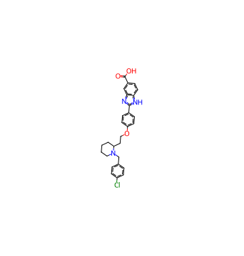 O=C(O)c1ccc2[nH]c(-c3ccc(OCCC4CCCCN4Cc4ccc(Cl)cc4)cc3)nc2c1